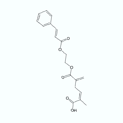 C=C(CC=C(C)C(=O)O)C(=O)OCCOC(=O)C=Cc1ccccc1